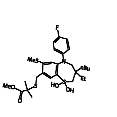 CCCCC1(CC)CN(c2ccc(F)cc2)c2cc(SC)c(CSC(C)(C)C(=O)OC)cc2S(O)(O)C1